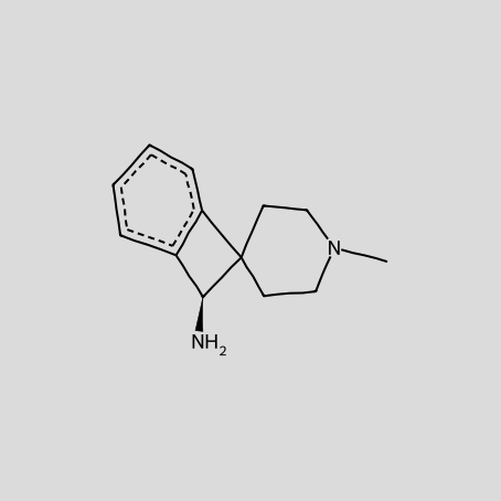 CN1CCC2(CC1)c1ccccc1[C@@H]2N